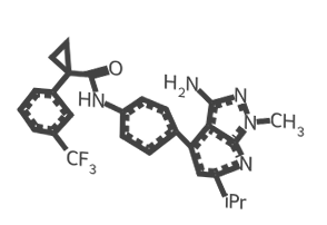 CC(C)c1cc(-c2ccc(NC(=O)C3(c4cccc(C(F)(F)F)c4)CC3)cc2)c2c(N)nn(C)c2n1